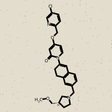 COC[C@H]1CCN(Cc2ccc3c(c2)CCC(n2ccc(OCc4ccc(Cl)cn4)cc2=O)=C3)C1